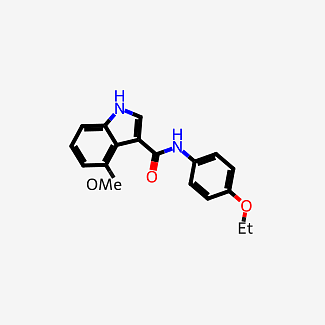 CCOc1ccc(NC(=O)c2c[nH]c3cccc(OC)c23)cc1